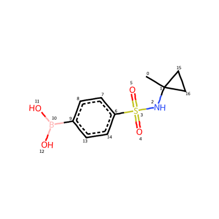 CC1(NS(=O)(=O)c2ccc(B(O)O)cc2)CC1